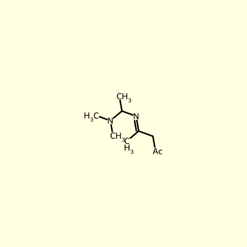 CC(=O)C/C(C)=N/C(C)N(C)C